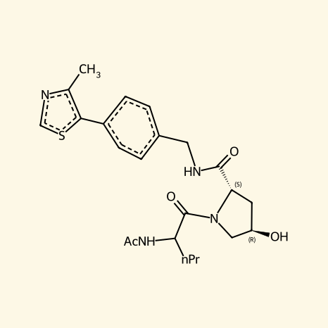 CCCC(NC(C)=O)C(=O)N1C[C@H](O)C[C@H]1C(=O)NCc1ccc(-c2scnc2C)cc1